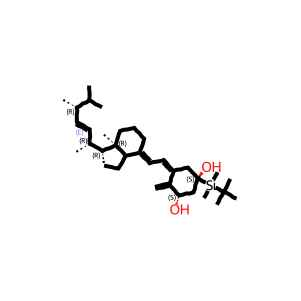 C=C1C(=CC=C2CCC[C@@]3(C)C2CC[C@@H]3[C@H](C)/C=C/[C@H](C)C(C)C)C[C@](O)([Si](C)(C)C(C)(C)C)C[C@@H]1O